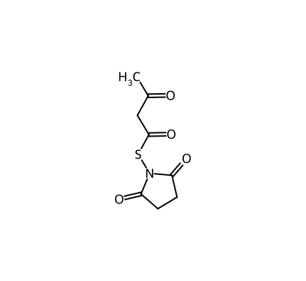 CC(=O)CC(=O)SN1C(=O)CCC1=O